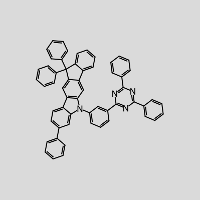 c1ccc(-c2ccc3c4cc5c(cc4n(-c4cccc(-c6nc(-c7ccccc7)nc(-c7ccccc7)n6)c4)c3c2)-c2ccccc2C5(c2ccccc2)c2ccccc2)cc1